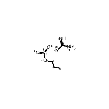 CCCO[SH](=O)=O.N=C(N)S